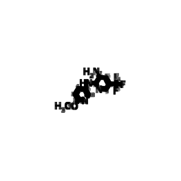 COc1ccc(NC2N=CC(C(F)(F)F)=CC2N)cn1